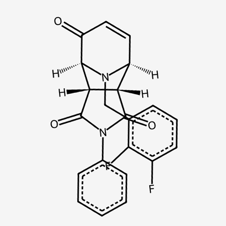 O=C1C=C[C@H]2[C@@H]3C(=O)N(c4ccccc4)C(=O)[C@@H]3[C@@H]1N2Cc1cccc(F)c1F